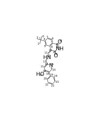 CC(C)(C)c1ccc2c(c1)C(=CNCc1cc(O)c(-c3ccccc3)cn1)C(=O)NC2=O